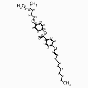 CCCCCCCC/C=C/Oc1ccc(C(=O)Oc2ccc(OCCC[C@@H](C)CC)cc2)cc1